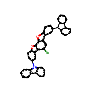 Brc1cc2c3cc(C4c5ccccc5-c5ccccc54)ccc3oc2c2oc3ccc(-n4c5ccccc5c5ccccc54)cc3c12